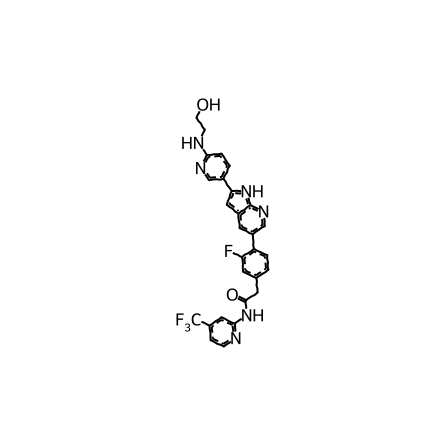 O=C(Cc1ccc(-c2cnc3[nH]c(-c4ccc(NCCO)nc4)cc3c2)c(F)c1)Nc1cc(C(F)(F)F)ccn1